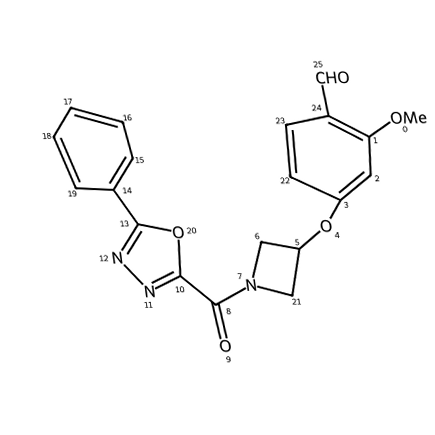 COc1cc(OC2CN(C(=O)c3nnc(-c4ccccc4)o3)C2)ccc1C=O